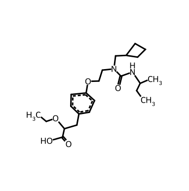 CCOC(Cc1ccc(OCCN(CC2CCC2)C(=O)NC(C)CC)cc1)C(=O)O